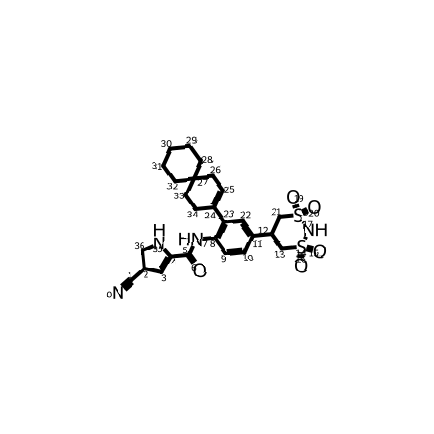 N#CC1C=C(C(=O)Nc2ccc(C3CS(=O)(=O)NS(=O)(=O)C3)cc2C2=CCC3(CCCCC3)CC2)NC1